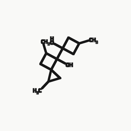 CC1CC(O)(C2(O)C(C)CC23CC3C)C1